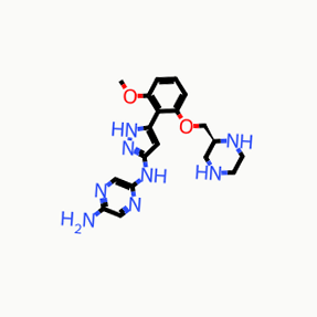 COc1cccc(OC[C@@H]2CNCCN2)c1-c1cc(Nc2cnc(N)cn2)n[nH]1